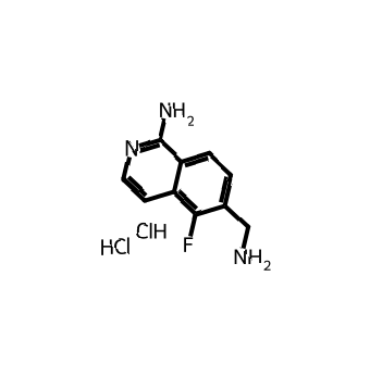 Cl.Cl.NCc1ccc2c(N)nccc2c1F